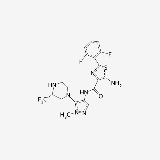 Cn1ncc(NC(=O)c2nc(-c3c(F)cccc3F)sc2N)c1N1CCNC(C(F)(F)F)C1